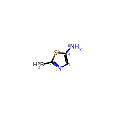 Bc1ncc(N)s1